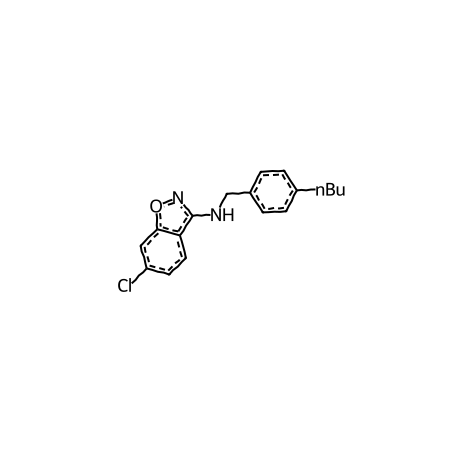 CCCCc1ccc(CNc2noc3cc(Cl)ccc23)cc1